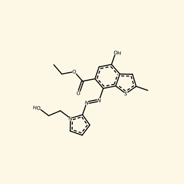 CCOC(=O)c1cc(O)c2cc(C)sc2c1/N=N/c1cccn1CCO